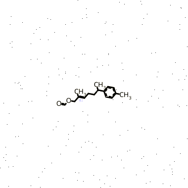 C/C(=C\CCC(C)c1ccc(C)cc1)COC=O